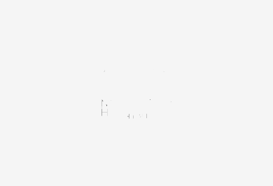 CCCCC1NCCC=C1c1ccccc1